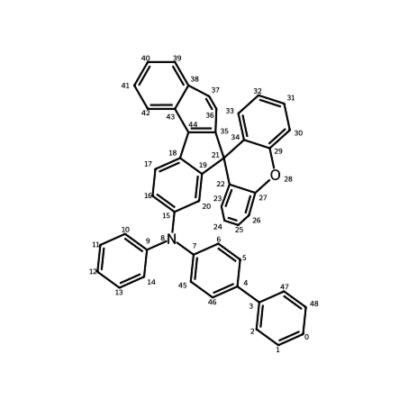 c1ccc(-c2ccc(N(c3ccccc3)c3ccc4c(c3)C3(c5ccccc5Oc5ccccc53)c3ccc5ccccc5c3-4)cc2)cc1